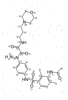 [CH2]C(=O)Nc1c(C)ccc(S(=O)(=O)Nc2ccc(N(N)C(=O)C(=O)NCCCN3CCOCC3)cc2)c1C